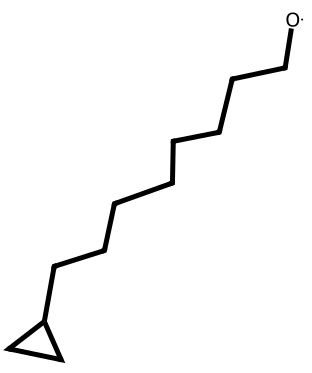 [O]CCCCCCCCC1CC1